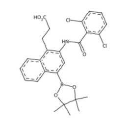 CC1(C)OB(c2cc(NC(=O)c3c(Cl)cccc3Cl)c(CCC(=O)O)c3ccccc23)OC1(C)C